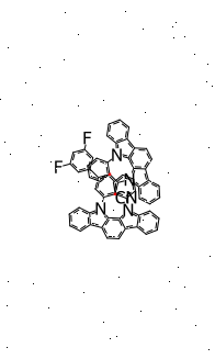 N#Cc1c(-n2c3ccccc3c3ccc4c5ccccc5n(-c5ccccc5)c4c32)cc(-c2cc(F)cc(F)c2)cc1-n1c2ccccc2c2ccc3c4ccccc4n(-c4ccccc4)c3c21